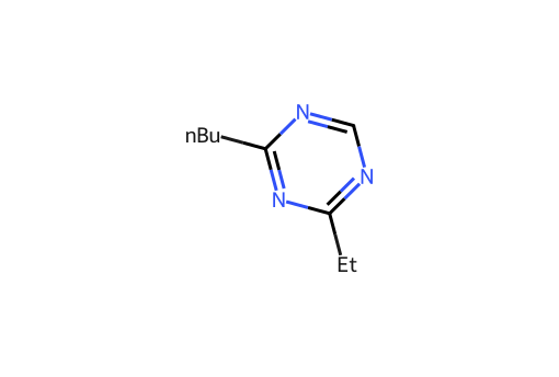 CCCCc1ncnc(CC)n1